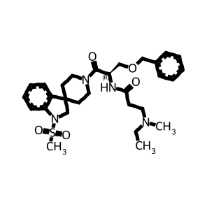 CCN(C)CCC(=O)N[C@H](COCc1ccccc1)C(=O)N1CCC2(CC1)CN(S(C)(=O)=O)c1ccccc12